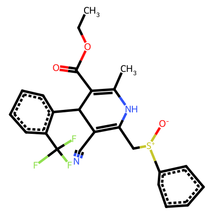 CCOC(=O)C1=C(C)NC(C[S+]([O-])c2ccccc2)=C(C#N)C1c1ccccc1C(F)(F)F